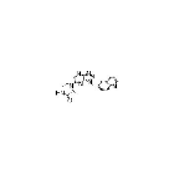 CC1C(=O)NCCN1c1cnc2nnn(Cc3ccc4ncccc4c3)c2n1